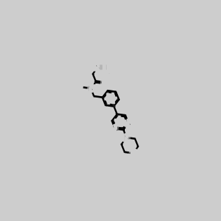 CN(Cc1cccc(-c2cnc(N3CCOCC3)nc2)c1)C(=O)CN